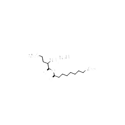 CCCCCCCCCCCCCCCCCC(=O)OC(=O)C(N)CCSC.[NaH]